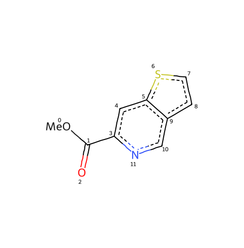 COC(=O)c1cc2sccc2cn1